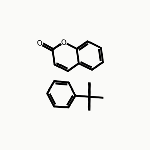 CC(C)(C)c1ccccc1.O=c1ccc2ccccc2o1